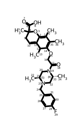 CC1=C2OC(C)(C(=O)O)CC=C2C(C)C(OCC(=O)N2C[C@H](C)N(Cc3ccc(F)cc3)C[C@H]2C)=C1C